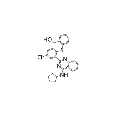 OCc1ccccc1Sc1ccc(Cl)cc1-c1nc(NC2CCCC2)c2ccccc2n1